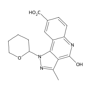 Cc1nn(C2CCCCO2)c2c1c(O)nc1ccc(C(=O)O)cc12